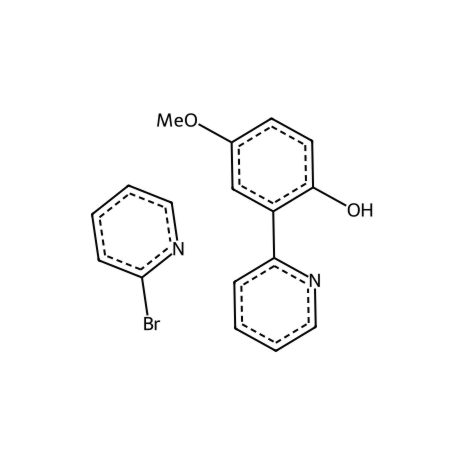 Brc1ccccn1.COc1ccc(O)c(-c2ccccn2)c1